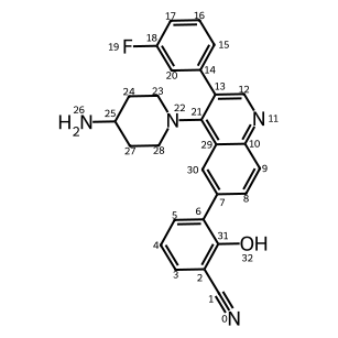 N#Cc1cccc(-c2ccc3ncc(-c4cccc(F)c4)c(N4CCC(N)CC4)c3c2)c1O